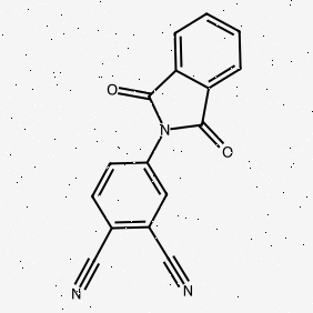 N#Cc1ccc(N2C(=O)c3ccccc3C2=O)cc1C#N